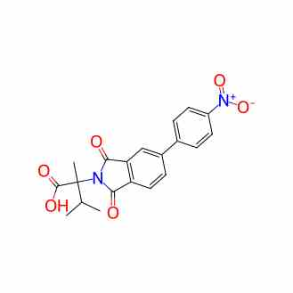 CC(C)C(C)(C(=O)O)N1C(=O)c2ccc(-c3ccc([N+](=O)[O-])cc3)cc2C1=O